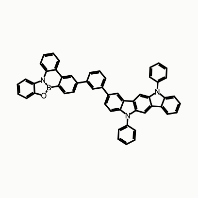 c1ccc(-n2c3ccccc3c3cc4c(cc32)c2cc(-c3cccc(-c5ccc6c(c5)-c5ccccc5N5B6Oc6ccccc65)c3)ccc2n4-c2ccccc2)cc1